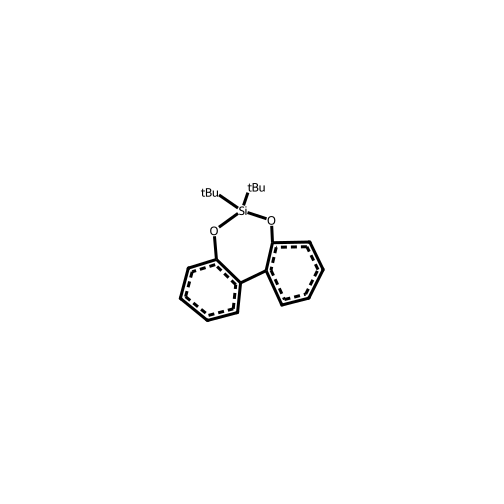 CC(C)(C)[Si]1(C(C)(C)C)Oc2ccccc2-c2ccccc2O1